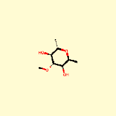 CO[C@@H]1[C@@H](O)[C@H](C)OC(C)[C@H]1O